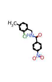 Cc1ccc(CNC(=O)c2ccc([N+](=O)[O-])cc2)c(Cl)c1